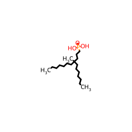 CCCCCCCC(C)(CCCCCCC)CCCP(=O)(O)O